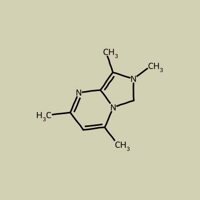 CC1=CC(C)=NC2=C(C)N(C)CN12